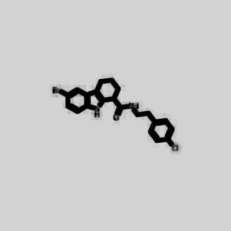 O=C(NCCc1ccc(Cl)cc1)C1CCCc2c1[nH]c1ccc(Br)cc21